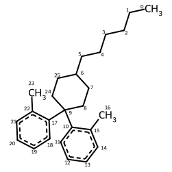 CCCCCCC1CCC(c2ccccc2C)(c2ccccc2C)CC1